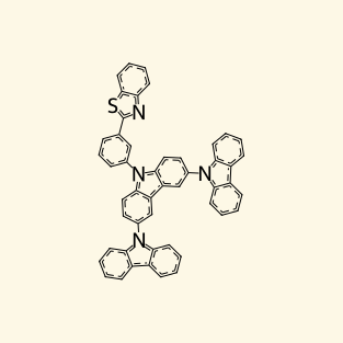 c1cc(-c2nc3ccccc3s2)cc(-n2c3ccc(-n4c5ccccc5c5ccccc54)cc3c3cc(-n4c5ccccc5c5ccccc54)ccc32)c1